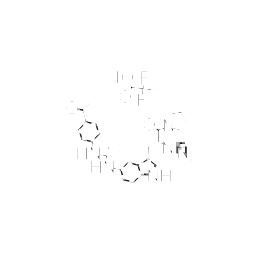 CC(=O)c1ccc(NC(=O)Nc2ccc3[nH]cc(C[C@H](N)C(=O)N4CCC[C@@H]4C#N)c3c2)cc1.O=C(O)C(F)(F)F